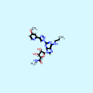 CCCNc1nc(-n2cc(-c3cc(OC)ccn3)nn2)nc2c1ncn2[C@@H]1OC(C(=O)NC)[C@@H](O)[C@H]1O